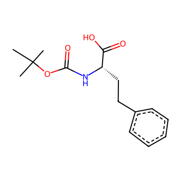 CC(C)(C)OC(=O)N[C@@H](CCc1ccccc1)C(=O)O